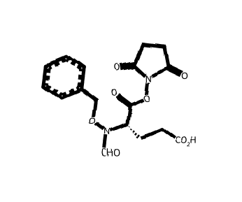 O=CN(OCc1ccccc1)[C@@H](CCC(=O)O)C(=O)ON1C(=O)CCC1=O